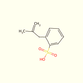 C=C(C)[CH]c1ccccc1S(=O)(=O)O